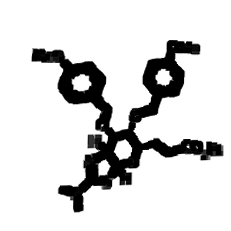 CCOC(=O)CC[C@H]1O[C@@H]2SC(N(C)C)=N[C@@H]2[C@@H](OCc2ccc(OC)cc2)[C@@H]1OCc1ccc(OC)cc1